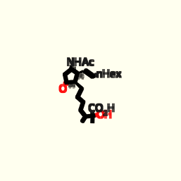 CCCCCCC=C[C@H]1[C@H](NC(C)=O)CC(=O)[C@@H]1CCCCC(C)C(C)(O)C(=O)O